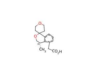 C[C@@H]1COC2(CCOCC2)c2cccc(CC(=O)O)c21